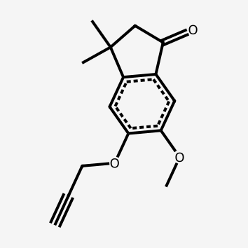 C#CCOc1cc2c(cc1OC)C(=O)CC2(C)C